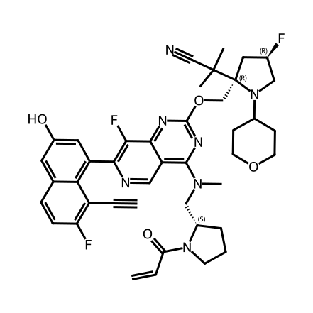 C#Cc1c(F)ccc2cc(O)cc(-c3ncc4c(N(C)C[C@@H]5CCCN5C(=O)C=C)nc(OC[C@]5(C(C)(C)C#N)C[C@@H](F)CN5C5CCOCC5)nc4c3F)c12